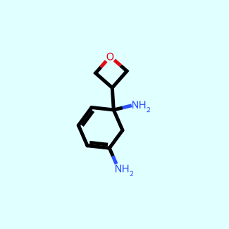 NC1=CC=CC(N)(C2COC2)C1